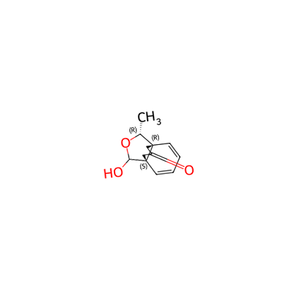 C[C@H]1OC(O)[C@@]23C=CC=C[C@@]12CC(=O)C3